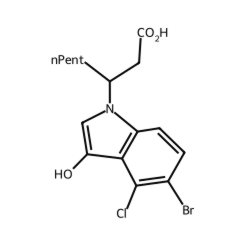 CCCCCC(CC(=O)O)n1cc(O)c2c(Cl)c(Br)ccc21